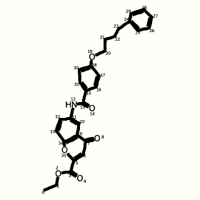 CCOC(=O)c1cc(=O)c2cc(NC(=O)c3ccc(OCCCCc4ccccc4)cc3)ccc2o1